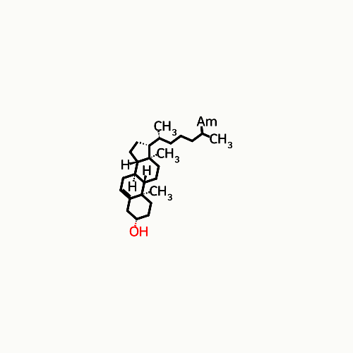 C[CH]([Am])CCC[C@@H](C)[C@H]1CC[C@H]2[C@@H]3CC=C4C[C@@H](O)CC[C@]4(C)[C@H]3CC[C@]12C